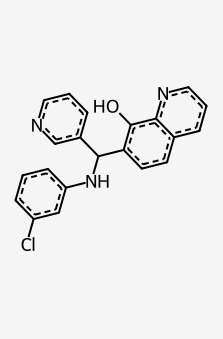 Oc1c(C(Nc2cccc(Cl)c2)c2cccnc2)ccc2cccnc12